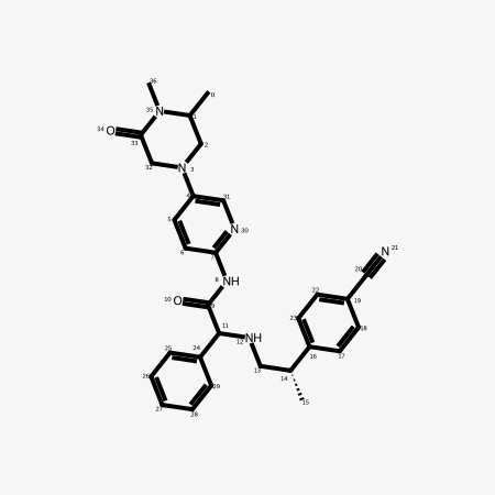 CC1CN(c2ccc(NC(=O)C(NC[C@@H](C)c3ccc(C#N)cc3)c3ccccc3)nc2)CC(=O)N1C